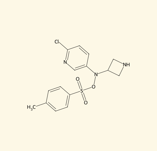 Cc1ccc(S(=O)(=O)ON(c2ccc(Cl)nc2)C2CNC2)cc1